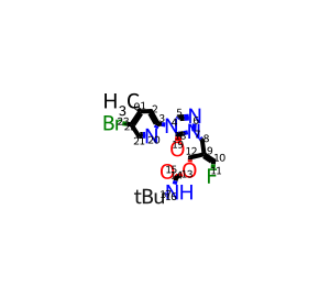 Cc1cc(-n2cnn(C/C(=C/F)COC(=O)NC(C)(C)C)c2=O)ncc1Br